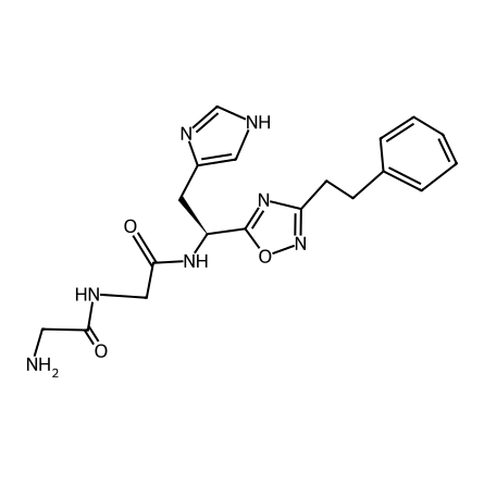 NCC(=O)NCC(=O)N[C@@H](Cc1c[nH]cn1)c1nc(CCc2ccccc2)no1